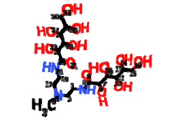 CN(CCNC(=O)C(O)C(O)C(O)C(O)CO)CCNC(=O)C(O)C(O)C(O)C(O)CO